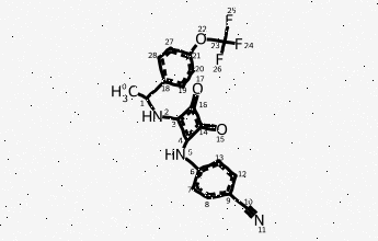 CC(Nc1c(Nc2ccc(C#N)cc2)c(=O)c1=O)c1ccc(OC(F)(F)F)cc1